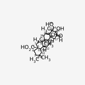 CC1(C)CC[C@]2(C(=O)O)CC[C@]3(C)C(=CC[C@@H]4[C@@]5(C)C[C@H](O)[C@H](O)C(C)(CO)C5=CC[C@]43C)[C@H]2C1